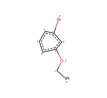 CC(C)COc1cccc(Br)c1